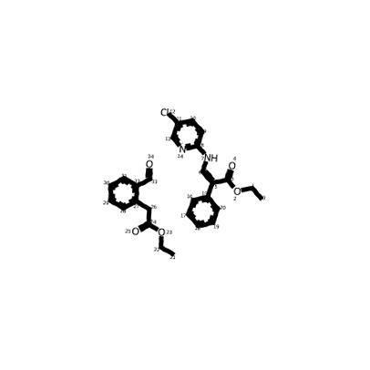 CCOC(=O)/C(=C\Nc1ccc(Cl)cn1)c1ccccc1.CCOC(=O)Cc1ccccc1C=O